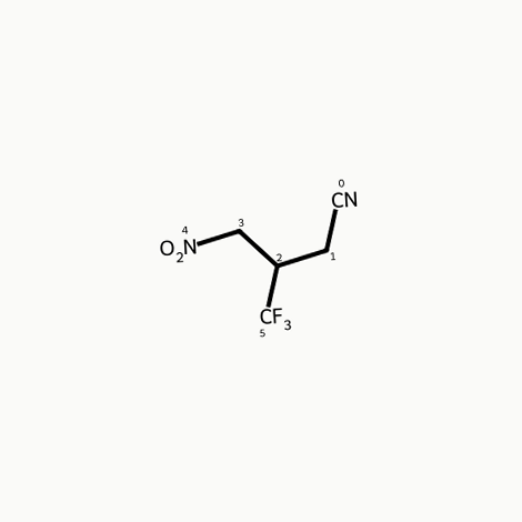 N#CCC(C[N+](=O)[O-])C(F)(F)F